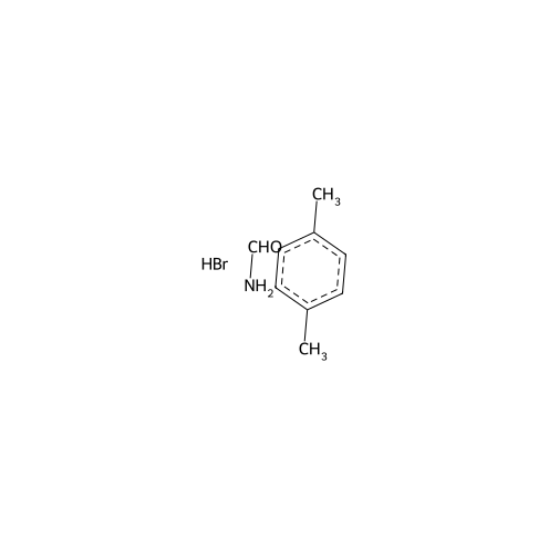 Br.Cc1ccc(C)cc1.NC=O